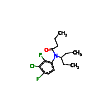 CCCC(=O)N(c1ccc(F)c(Cl)c1F)C(CC)CC